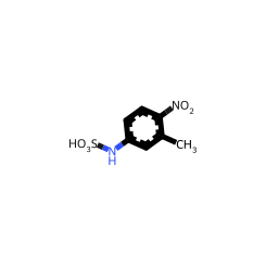 Cc1cc(NS(=O)(=O)O)ccc1[N+](=O)[O-]